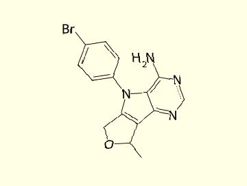 CC1OCc2c1c1ncnc(N)c1n2-c1ccc(Br)cc1